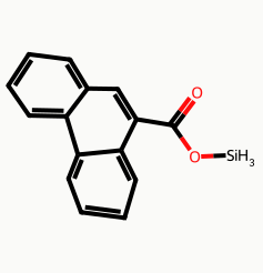 O=C(O[SiH3])c1cc2ccccc2c2ccccc12